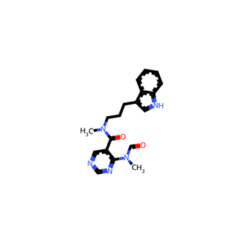 CN(CCCc1c[nH]c2ccccc12)C(=O)c1cncnc1N(C)C=O